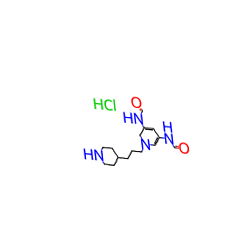 Cl.O=CNC1=CN(CCCC2CCNCC2)CC(NC=O)=C1